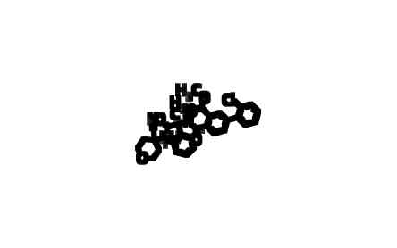 COC(=O)c1cc(-c2ccccc2Cl)ccc1C(=O)N[C@](C)(C(=O)NC1(C#N)CCOCC1)c1c(F)cccc1F